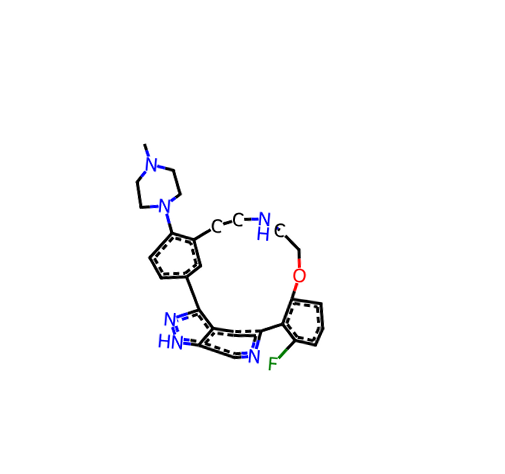 CN1CCN(c2ccc3cc2CCNCCOc2cccc(F)c2-c2cc4c-3n[nH]c4cn2)CC1